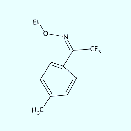 CCO/N=C(\c1ccc(C)cc1)C(F)(F)F